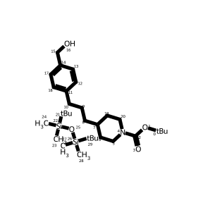 CC(C)(C)OC(=O)N1CCC(CCCc2ccc(CO)cc2)CC1.CC(C)(C)[Si](C)(C)O[Si](C)(C)C(C)(C)C